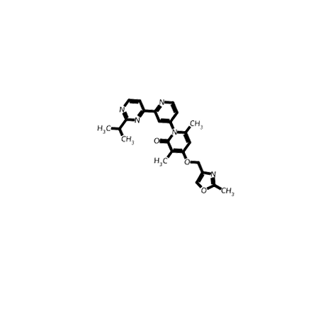 Cc1nc(COc2cc(C)n(-c3ccnc(-c4ccnc(C(C)C)n4)c3)c(=O)c2C)co1